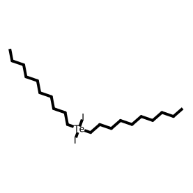 CCCCCCCCCC[Te](I)(I)CCCCCCCCCC